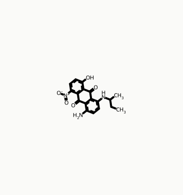 CCC(C)Nc1ccc(N)c2c1C(=O)c1c(O)ccc([N+](=O)[O-])c1C2=O